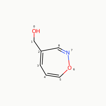 OCC1=CC=CON=C1